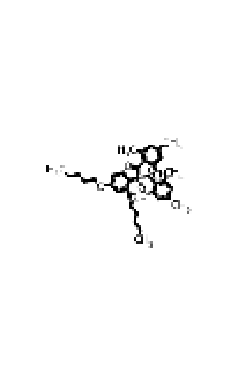 CCCCCOc1ccc(P(=O)(C(=O)c2c(C)cc(C)cc2C)C(=O)c2c(C)cc(C)cc2C)c(OCCCCC)c1